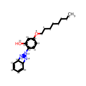 CCCCCCCCOc1ccc(-n2n3n2C2C=CC=CC23)c(O)c1